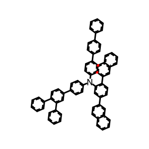 c1ccc(-c2ccc(-c3ccc(N(c4ccc(-c5ccc(-c6ccccc6)c(-c6ccccc6)c5)cc4)c4cc(-c5ccc6ccccc6c5)ccc4-c4ccc5ccccc5c4)cc3)cc2)cc1